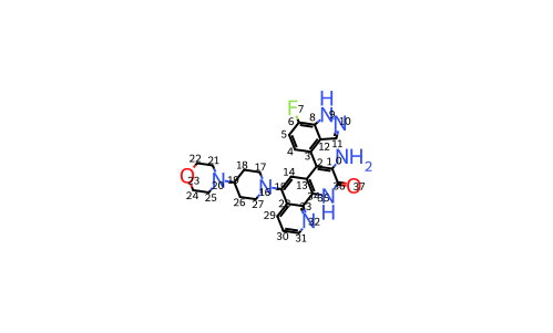 Nc1c(-c2ccc(F)c3[nH]ncc23)c2cc(N3CCC(N4CCOCC4)CC3)c3cccnc3c2[nH]c1=O